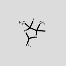 CC1(F)OC(C(F)(F)F)OC1(C)F